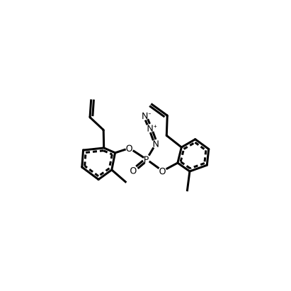 C=CCc1cccc(C)c1OP(=O)(N=[N+]=[N-])Oc1c(C)cccc1CC=C